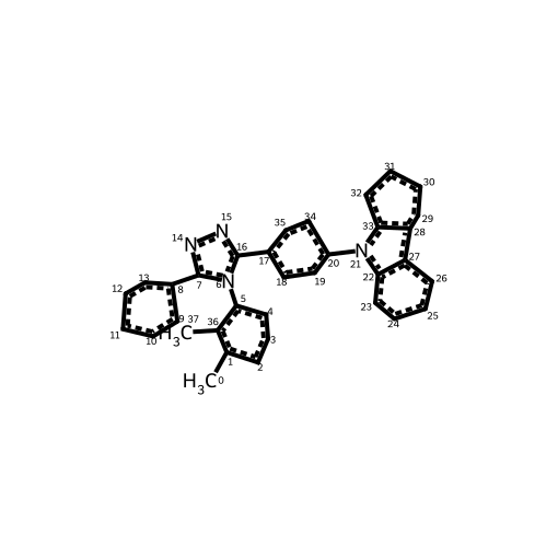 Cc1cccc(-n2c(-c3ccccc3)nnc2-c2ccc(-n3c4ccccc4c4ccccc43)cc2)c1C